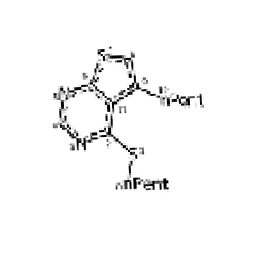 CCCCCSc1ncnc2scc(CCCCC)c12